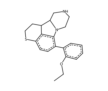 CCOc1ccccc1-c1ccc2c3c1N1CCNCC1C3CCS2